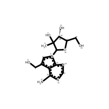 CC1(O)C(n2cc(CO)c3c(N)ncnc32)OC(CO)[C@H]1O